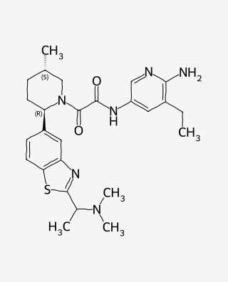 CCc1cc(NC(=O)C(=O)N2C[C@@H](C)CC[C@@H]2c2ccc3sc(C(C)N(C)C)nc3c2)cnc1N